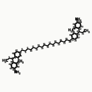 CCC(c1ccc(CCCCCCCCCCCCCCCCCCc2ccc(C(CC)c3ccc(N)cc3C)cc2)cc1)c1ccc(N)cc1C